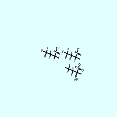 O=S(=O)([O-])C(F)(F)C(F)(F)C(F)(F)F.O=S(=O)([O-])C(F)(F)C(F)(F)C(F)(F)F.O=S(=O)([O-])C(F)(F)C(F)(F)C(F)(F)F.[Al+3]